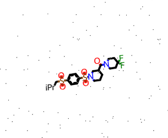 CC(C)CS(=O)(=O)c1ccc(S(=O)(=O)N2CCCC(C(=O)N3CCC(F)(F)CC3)C2)cc1